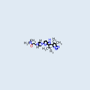 Cc1c(-c2[nH]c3ccc(N4C[C@@H]5C[C@H]4CN5CCC(=O)N(C)C)nc3c2C(C)C)cn2ncnc2c1C